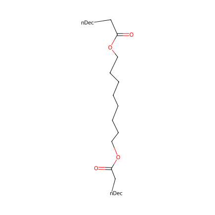 CCCCCCCCCCCC(=O)OCCCCCCCCOC(=O)CCCCCCCCCCC